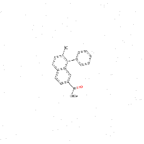 [C-]#[N+]c1ccc2ccc(C(=O)OC)cc2c1-c1ccccc1